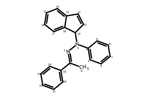 CC(=NN(c1ccccc1)C1C=Cc2ccccc21)c1ccccc1